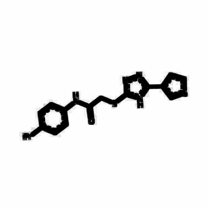 CC(C)c1ccc(NC(=O)CSc2nnc(-c3ccsc3)[nH]2)cc1